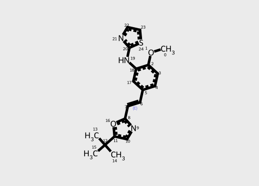 COc1ccc(/C=C/c2ncc(C(C)(C)C)o2)cc1Nc1nccs1